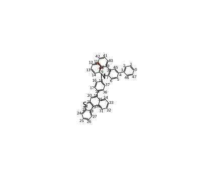 c1ccc(-c2ccc(N(c3ccccc3)c3ccc(-c4cc5sc6ccccc6c5c5ccccc45)cc3)c(-c3ccccc3)c2)cc1